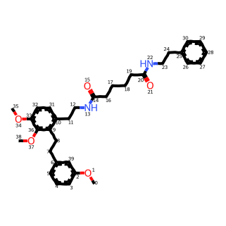 COc1cccc(CCc2c(CCNC(=O)CCCCC(=O)NCCc3ccccc3)ccc(OC)c2OC)c1